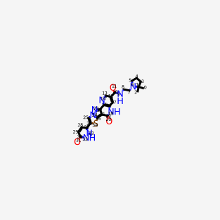 CC1(C)CCCN1CCNC(=O)c1cnc2c(c1)[nH]c(=O)c1c2nn2cc(-c3ccc(=O)[nH]n3)sc12